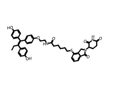 CCC(=C(c1ccc(O)cc1)c1ccc(OCCNC(=O)CCCCCSc2cccc3c2CN(C2CCC(=O)NC2=O)C3=O)cc1)c1ccc(O)cc1